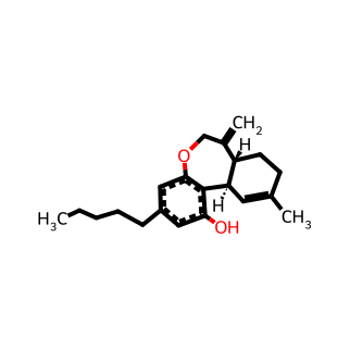 C=C1COc2cc(CCCCC)cc(O)c2[C@@H]2C=C(C)CC[C@@H]12